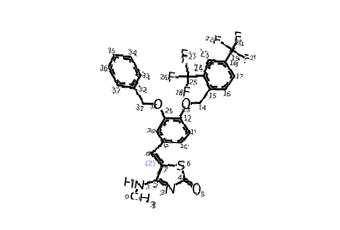 CNC1=NC(=O)S/C1=C\c1ccc(OCc2ccc(C(F)(F)F)cc2C(F)(F)F)c(OCc2ccccc2)c1